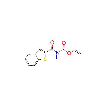 C=COC(=O)NC(=O)c1cc2ccccc2s1